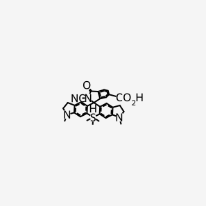 CN1CCc2cc3c(cc21)[SH](C)(C)(C)c1cc2c(cc1C31c3cc(C(=O)O)ccc3C(=O)N1C#N)CCN2C